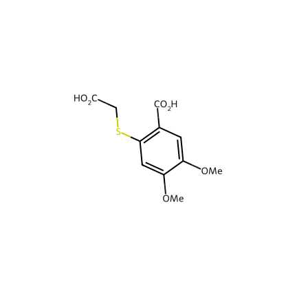 COc1cc(SCC(=O)O)c(C(=O)O)cc1OC